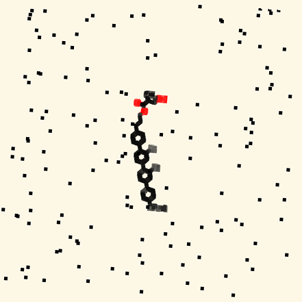 C=C(CO)C(=O)OCCCc1ccc(-c2ccc(-c3ccc(-c4ccc(CCCCC)cc4)cc3CC)cc2CC)cc1